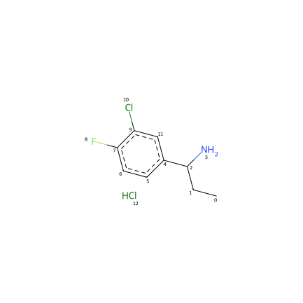 CCC(N)c1ccc(F)c(Cl)c1.Cl